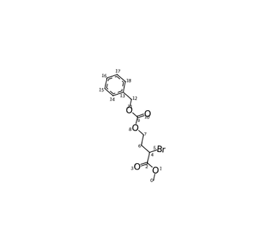 COC(=O)C(Br)CCOC(=O)OCc1ccccc1